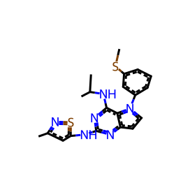 CSc1cccc(-n2ccc3nc(Nc4cc(C)ns4)nc(NC(C)C)c32)c1